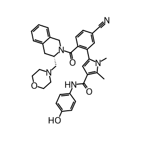 Cc1c(C(=O)Nc2ccc(O)cc2)cc(-c2cc(C#N)ccc2C(=O)N2Cc3ccccc3C[C@H]2CN2CCOCC2)n1C